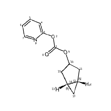 O=C(Oc1ccccn1)OC1C[C@@H]2C[C@@H]2C1